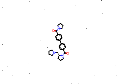 O=C(c1ccc(-c2ccc(C(=O)N3CCC[C@H]3CN3CCCC3)cc2)cc1)N1CCCC1